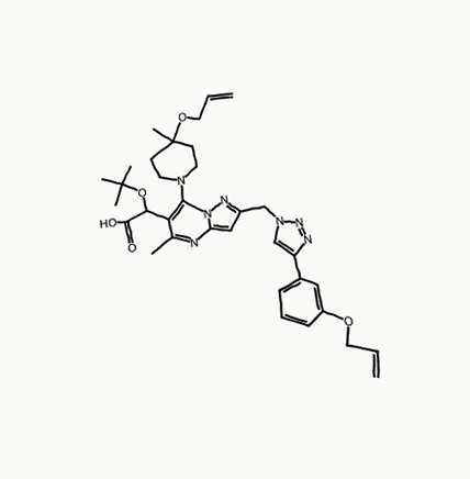 C=CCOc1cccc(-c2cn(Cc3cc4nc(C)c(C(OC(C)(C)C)C(=O)O)c(N5CCC(C)(OCC=C)CC5)n4n3)nn2)c1